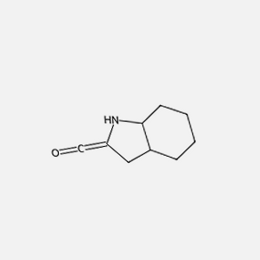 O=C=C1CC2CCCCC2N1